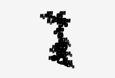 CC[C@]1(O)C[C@H]2CN(CCc3c([nH]c4ccccc34)[C@@](C(=O)OC)(c3cc4c(cc3OC)N(C)[C@H]3[C@@](O)(C(=O)N/N=C(\C)c5ccc(N6C(=O)CC(SC[C@H](NC(=O)[C@H](CC(=O)O)NC(=O)[C@H](CCCNC(=N)N)NC)C(=O)O)C6=O)cc5)[C@H](O)[C@]5(CC)C=CCN6CC[C@]43[C@@H]65)C2)C1